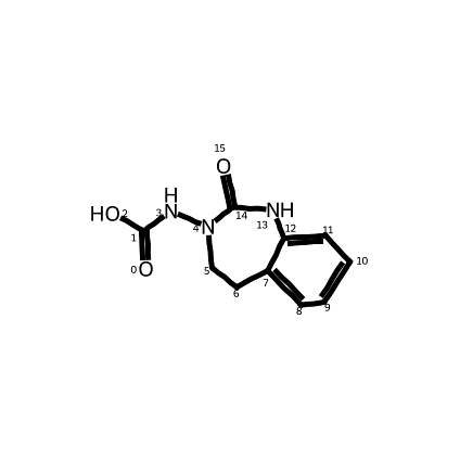 O=C(O)NN1CCc2ccccc2NC1=O